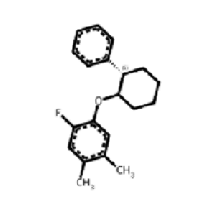 Cc1cc(F)c(OC2CCCC[C@H]2c2ccccc2)cc1C